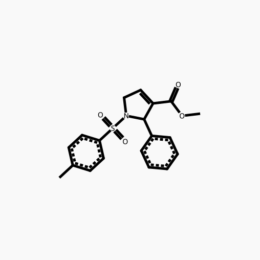 COC(=O)C1=CCN(S(=O)(=O)c2ccc(C)cc2)C1c1ccccc1